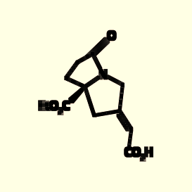 CCOC(=O)[C@@]12CCC(=O)N1CC(=CC(=O)O)C2